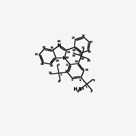 BC(C)(C)c1cc(C(C)(C)C)c(-n2c(-c3ccccc3)nc3ccccc32)c(C(C)(C)C)c1